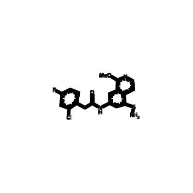 COc1nccc2c(SN)cc(NC(=O)Cc3ccc(F)cc3Cl)cc12